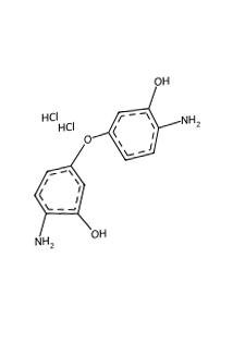 Cl.Cl.Nc1ccc(Oc2ccc(N)c(O)c2)cc1O